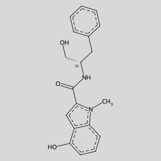 Cn1c(C(=O)N[C@H](CO)Cc2ccccc2)cc2c(O)cccc21